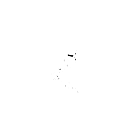 O.O.O.O.O.O.O.O=S(=O)(O)O.O=S([O-])[O-].[Na+].[Na+]